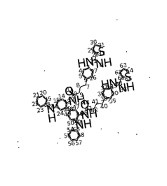 N=C(Nc1ccc(CCCC(=O)Nc2ccc(Nc3ccccc3)cc2)cc1)c1cccs1.N=C(Nc1ccc(CCCC(=O)Nc2ccccc2Nc2ccccc2)cc1)c1cccs1